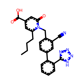 CCCCc1cc(C(=O)O)cc(=O)n1Cc1ccc(-c2ccccc2-c2nnn[nH]2)cc1C#N